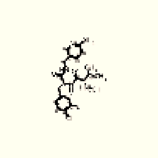 CN[C@@H](C(=O)N[C@@H](Cc1ccc(Cl)c(Cl)c1)C(=O)NCc1ccc(N)nc1)C(C)C